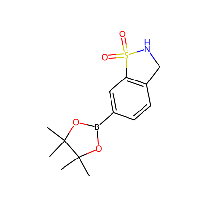 CC1(C)OB(c2ccc3c(c2)S(=O)(=O)NC3)OC1(C)C